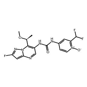 CO[C@@H](C)c1c(NC(=O)Nc2cc[n+]([O-])c(C(F)F)c2)cnc2cc(F)nn12